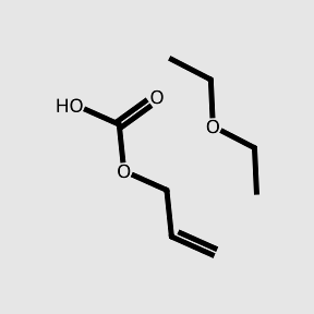 C=CCOC(=O)O.CCOCC